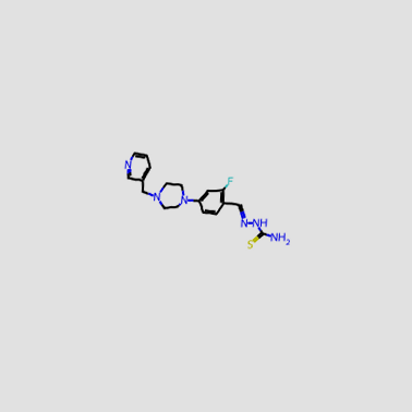 NC(=S)NN=Cc1ccc(N2CCN(Cc3cccnc3)CC2)cc1F